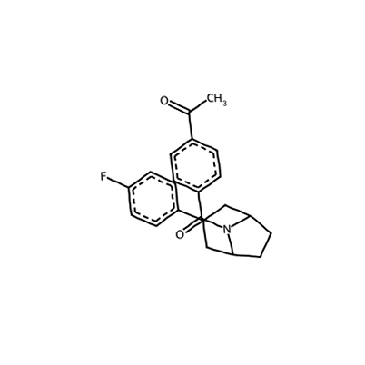 CC(=O)c1ccc(C(=O)N2C3CCC2CC(c2ccc(F)cc2)C3)cc1